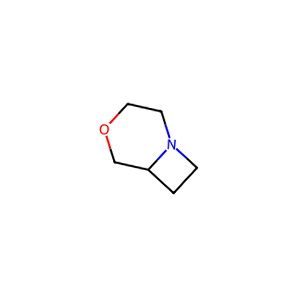 C1CN2CCC2CO1